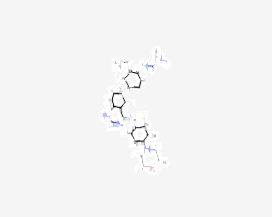 CN(C)C=Nc1ccc(-c2ccc3ncnc(Nc4ccc(N5CCOCC5)cc4)c3c2)cc1C#N